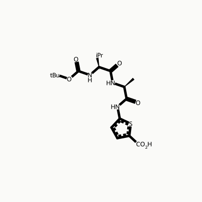 CC(C)[C@H](NC(=O)OC(C)(C)C)C(=O)N[C@@H](C)C(=O)Nc1ccc(C(=O)O)s1